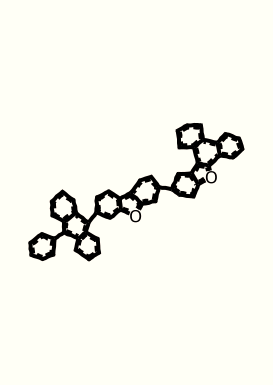 c1ccc(-c2c3ccccc3c(-c3ccc4c(c3)oc3cc(-c5ccc6oc7c8ccccc8c8ccccc8c7c6c5)ccc34)c3ccccc23)cc1